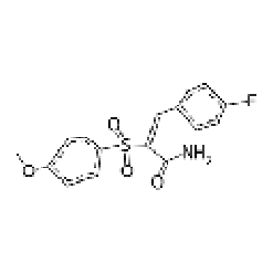 COc1ccc(S(=O)(=O)/C(=C/c2ccc(F)cc2)C(N)=O)cc1